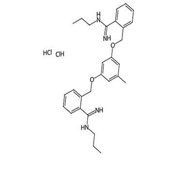 CCCNC(=N)c1ccccc1COc1cc(C)cc(OCc2ccccc2C(=N)NCCC)c1.Cl.Cl